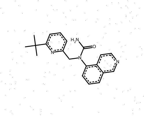 CC(C)(C)c1cccc(CN(C(N)=O)c2cccc3cnccc23)n1